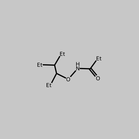 CCC(=O)NOC(CC)C(CC)CC